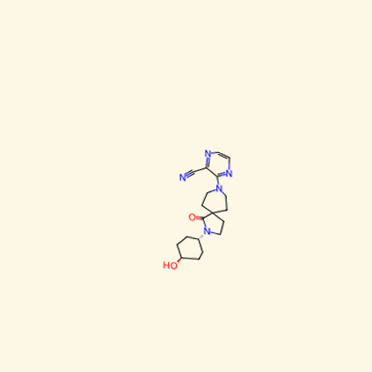 N#Cc1nccnc1N1CCC2(CC1)CCN([C@H]1CC[C@H](O)CC1)C2=O